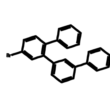 Brc1ccc(-c2ccccc2)c(-c2cccc(-c3ccccc3)c2)c1